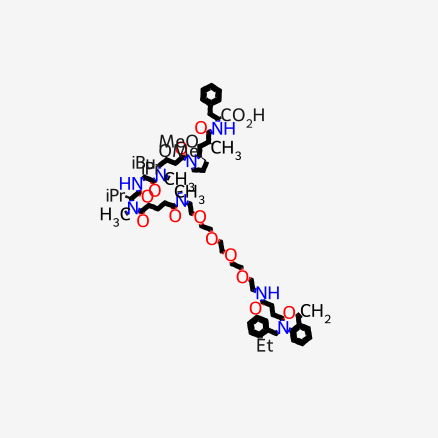 C=Cc1ccccc1N(Cc1ccccc1CC)C(=O)CCC(=O)NCCOCCOCCOCCOCCN(C)C(=O)CCCC(=O)N(C)[C@H](C(=O)N[C@H](C(=O)N(C)[C@@H]([C@@H](C)CC)[C@@H](CC(=O)N1CCC[C@H]1[C@H](OC)[C@@H](C)C(=O)N[C@@H](Cc1ccccc1)C(=O)O)OC)C(C)C)C(C)C